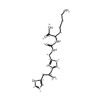 NCCCCC(NC(=O)NCc1nc(C(N)Cc2cnc[nH]2)no1)C(=O)O